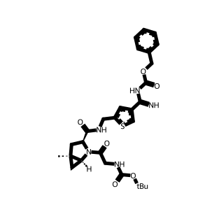 CC(C)(C)OC(=O)NCC(=O)N1[C@H]2C[C@@]2(C)C[C@H]1C(=O)NCc1cc(C(=N)NC(=O)OCc2ccccc2)cs1